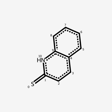 S=c1ccc2cc[c]cc2[nH]1